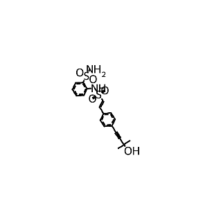 CC(C)(O)C#Cc1ccc(C=CS(=O)(=O)Nc2ccccc2S(N)(=O)=O)cc1